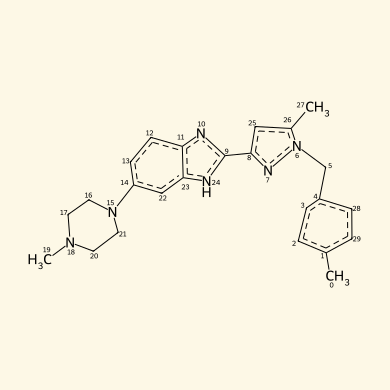 Cc1ccc(Cn2nc(-c3nc4ccc(N5CCN(C)CC5)cc4[nH]3)cc2C)cc1